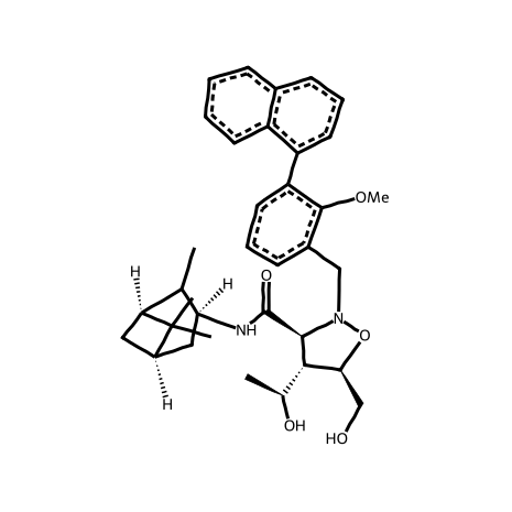 COc1c(CN2O[C@@H](CO)[C@H]([C@H](C)O)[C@H]2C(=O)N[C@H]2C[C@H]3C[C@@H](C2C)C3(C)C)cccc1-c1cccc2ccccc12